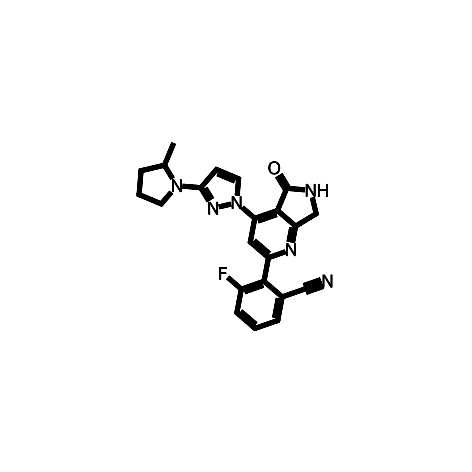 CC1CCCN1c1ccn(-c2cc(-c3c(F)cccc3C#N)nc3c2C(=O)NC3)n1